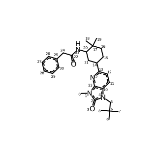 Cn1c(=O)n(CC(C)(C)C)c2ccc(C3CCC(C)(C)C(NC(=O)Cc4ccccc4)C3)nc21